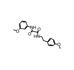 COc1ccc(CCNC(=O)C(=O)Nc2cccc(OC)c2)cc1